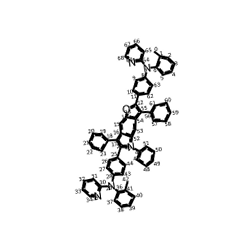 Cc1ccccc1N(c1ccc(-c2oc3cc4c(-c5ccccc5)c(-c5ccc(N(c6ccccn6)c6ccccc6C)cc5)n(-c5ccccc5)c4cc3c2-c2ccccc2)cc1)c1ccccn1